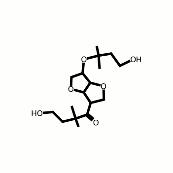 CC(C)(CCO)OC1COC2C(C(=O)C(C)(C)CCO)COC12